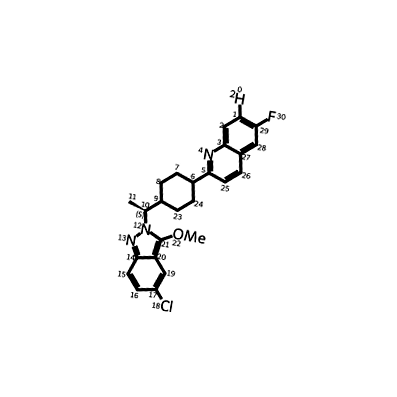 [2H]c1cc2nc(C3CCC([C@H](C)n4nc5ccc(Cl)cc5c4OC)CC3)ccc2cc1F